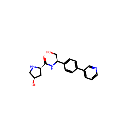 O=C(N[C@@H](CO)c1ccc(-c2cccnc2)cc1)[C@@H]1C[C@@H](O)CN1